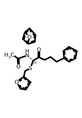 CC(=O)N[C@@H](SCc1ccco1)C(=O)CCCc1ccccc1.c1cc2cc(c1)O2